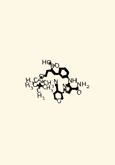 CC(C)(C)[Si](C)(C)OCCC1=Cc2cc(Nc3nn([C@H]4COCCC4C#N)cc3C(N)=O)ccc2OB1O